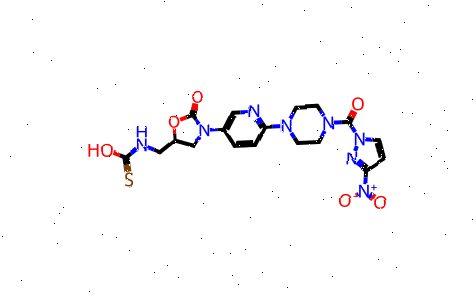 O=C1OC(CNC(O)=S)CN1c1ccc(N2CCN(C(=O)n3ccc([N+](=O)[O-])n3)CC2)nc1